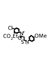 CCOC(=O)c1cc(Cl)ccc1N(C)C(=O)CC(=S)N(C)c1ccc(OC)cc1